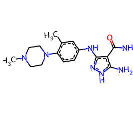 Cc1cc(Nc2n[nH]c(N)c2C(N)=O)ccc1N1CCN(C)CC1